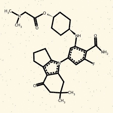 CN(C)CC(=O)O[C@H]1CC[C@H](Nc2cc(-n3c4c(c5c3CC(C)(C)CC5=O)CCC4)cc(F)c2C(N)=O)CC1